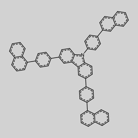 c1ccc2cc(-c3ccc(-n4c5ccc(-c6ccc(-c7cccc8ccccc78)cc6)cc5c5cc(-c6ccc(-c7cccc8ccccc78)cc6)ccc54)cc3)ccc2c1